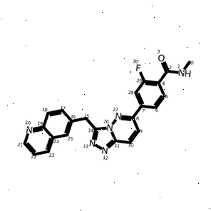 CNC(=O)c1ccc(-c2ccc3nnc(Cc4ccc5ncccc5c4)n3n2)cc1F